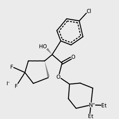 CC[N+]1(CC)CCC(OC(=O)[C@](O)(c2ccc(Cl)cc2)[C@@H]2CCC(F)(F)C2)CC1.[I-]